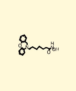 O=C(CCCCCCN1Cc2ccccc2Oc2ccccc21)NO